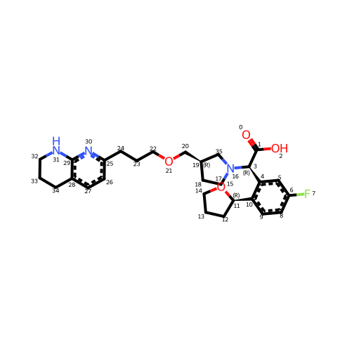 O=C(O)[C@@H](c1cc(F)ccc1[C@H]1CCCO1)N1CC[C@@H](COCCCc2ccc3c(n2)NCCC3)C1